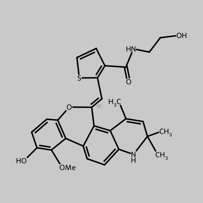 COc1c(O)ccc2c1-c1ccc3c(c1/C(=C/c1sccc1C(=O)NCCO)O2)C(C)=CC(C)(C)N3